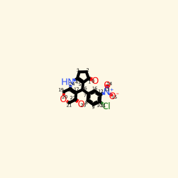 O=C1CCC2=C1C(c1ccc(Cl)c([N+](=O)[O-])c1)C1=C(COCC1=O)N2